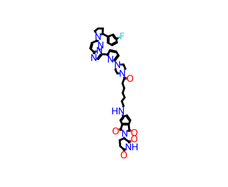 O=C1CCC(N2C(=O)c3ccc(NCCCCCCC(=O)N4CCN(c5cccc(-c6cnc7ccc(N8CCCC8c8cccc(F)c8)nn67)n5)CC4)cc3C2=O)C(=O)N1